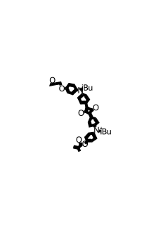 C=C(C)C(=O)Oc1ccc([N+](=C2C=CC(=C3C(=O)C(c4ccc(N(c5ccc(OCC6CO6)cc5)C(C)CC)cc4)=C3[O-])C=C2)C(C)CC)cc1